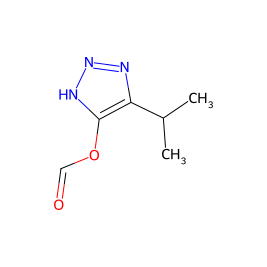 CC(C)c1nn[nH]c1OC=O